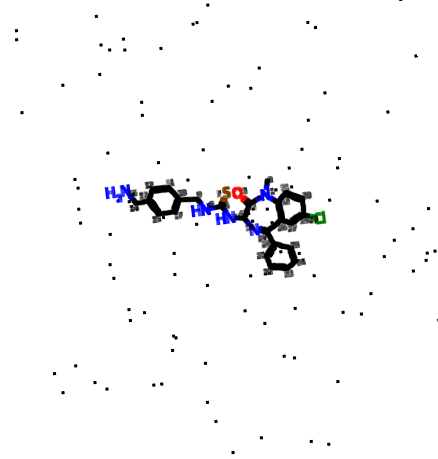 CN1C(=O)C(NC(=S)NCc2ccc(CN)cc2)N=C(c2ccccc2)c2cc(Cl)ccc21